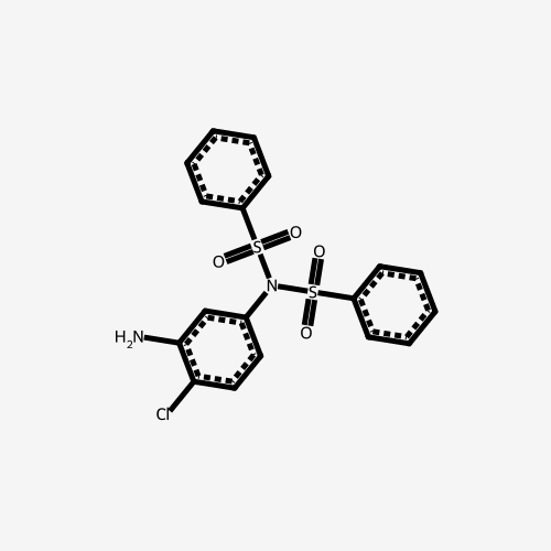 Nc1cc(N(S(=O)(=O)c2ccccc2)S(=O)(=O)c2ccccc2)ccc1Cl